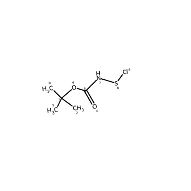 CC(C)(C)OC(=O)NSCl